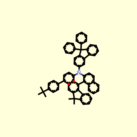 CC(C)(C)c1ccc(-c2ccc(N(c3ccc4c(c3)-c3ccccc3C4(c3ccccc3)c3ccccc3)c3ccc4ccccc4c3-c3cccc4c3-c3ccccc3C4(C)C)cc2)cc1